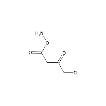 NOC(=O)CC(=O)CCl